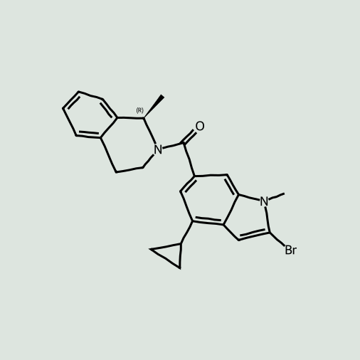 C[C@@H]1c2ccccc2CCN1C(=O)c1cc(C2CC2)c2cc(Br)n(C)c2c1